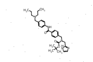 CCCN(CCC)Cc1ccc(NC(=O)c2ccc(CN(Cc3ncc[nH]3)C(=O)OC(C)(C)C)cc2)cc1